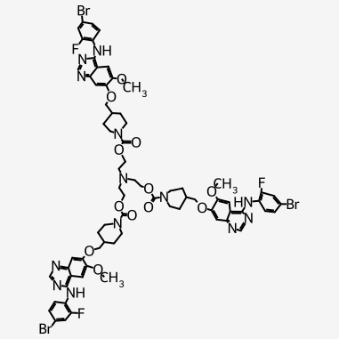 COc1cc2c(Nc3ccc(Br)cc3F)ncnc2cc1OCC1CCN(C(=O)OCCN(CCOC(=O)N2CCC(COc3cc4ncnc(Nc5ccc(Br)cc5F)c4cc3OC)CC2)CCOC(=O)N2CCC(COc3cc4ncnc(Nc5ccc(Br)cc5F)c4cc3OC)CC2)CC1